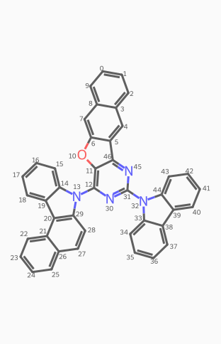 c1ccc2cc3c(cc2c1)oc1c(-n2c4ccccc4c4c5ccccc5ccc42)nc(-n2c4ccccc4c4ccccc42)nc13